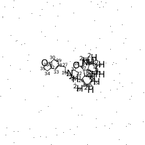 [2H]c1c([2H])c([2H])c(C(C(N)=O)(c2c([2H])c([2H])c([2H])c([2H])c2[2H])[C@@H]2CCN(CCc3ccc4c(c3)CCO4)C2)c([2H])c1[2H]